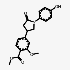 COC(=O)c1ccc(C2CC(=O)N(c3ccc(O)cc3)C2)cc1OC